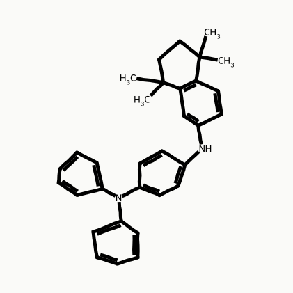 CC1(C)CCC(C)(C)c2cc(Nc3ccc(N(c4ccccc4)c4ccccc4)cc3)ccc21